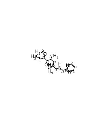 C=CC(OC)C(O)C(C)C=C(C)CNCc1ncccn1